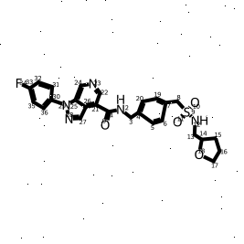 O=C(NCc1ccc(CS(=O)(=O)NCC2CCCO2)cc1)c1cncc2c1cnn2-c1ccc(F)cc1